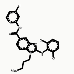 CNCCCn1c(Nc2c(Cl)cccc2Cl)nc2cc(C(=O)Nc3cc(Cl)ccn3)ccc21